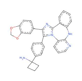 NC1(c2ccc(-c3c(-c4ccc5c(c4)OCO5)nc4n3-c3cccnc3Nc3ccccc3-4)cc2)CCC1